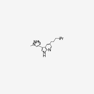 C=C/C(=C\N(C)N)c1c[nH]c2ncc(CCCC(C)C)cc12